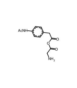 CC(=O)Nc1ccc(CC(=O)OC(=O)CN)cc1